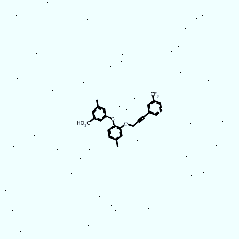 Cc1cc(Oc2ccc(C)cc2OCC#Cc2cccc(C(F)(F)F)c2)cc(C(=O)O)c1